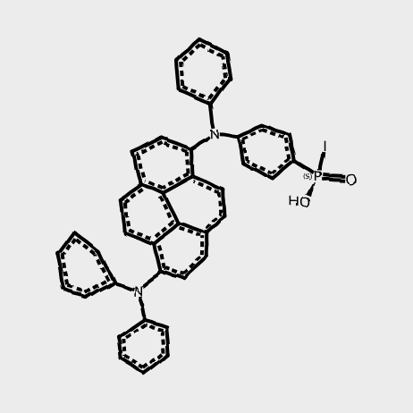 O=[P@@](O)(I)c1ccc(N(c2ccccc2)c2ccc3ccc4c(N(c5ccccc5)c5ccccc5)ccc5ccc2c3c54)cc1